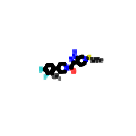 CNSN1CCc2c(C(=O)N3CCC(c4ccc(F)c(F)c4C(F)(F)F)CC3)n[nH]c2C1